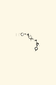 O=C(OCC1CCNCC1)N1CCC(F)(CNC2CC2c2cnc(-c3ccc(Cl)cc3)s2)CC1